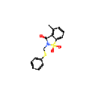 Cc1cccc2c1C(=O)N(CSc1ccccc1)S2(=O)=O